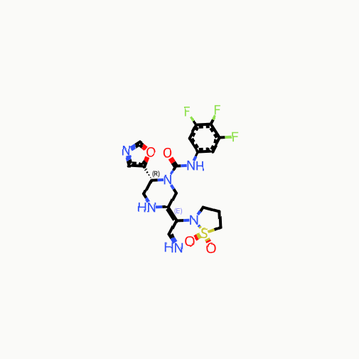 N=C/C(=C1/CN(C(=O)Nc2cc(F)c(F)c(F)c2)[C@@H](c2cnco2)CN1)N1CCCS1(=O)=O